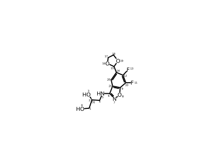 OC[C@@H](O)CNc1noc2c(F)c(F)c(C3OCCO3)cc12